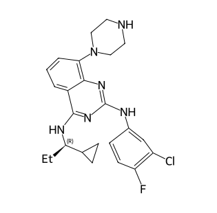 CC[C@@H](Nc1nc(Nc2ccc(F)c(Cl)c2)nc2c(N3CCNCC3)cccc12)C1CC1